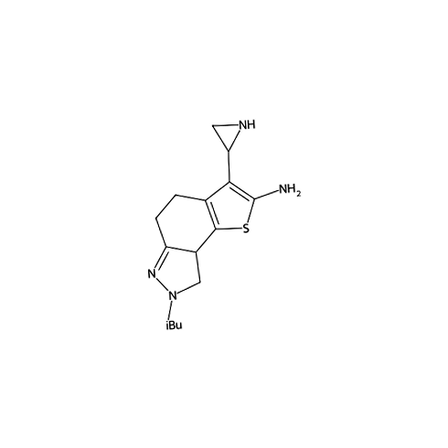 CCC(C)N1CC2C(=N1)CCc1c2sc(N)c1C1CN1